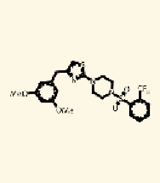 COc1cc(Cc2csc(N3CCN(S(=O)(=O)c4ccccc4C(F)(F)F)CC3)n2)cc(OC)c1